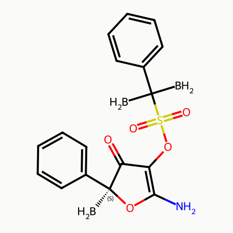 BC(B)(c1ccccc1)S(=O)(=O)OC1=C(N)O[C@@](B)(c2ccccc2)C1=O